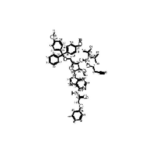 C#CCCOP(OC1C(COC(c2ccccc2)(c2ccc(OC)cc2)c2ccc(OC)cc2)OC(n2cnc3c(NC(=O)COc4ccccc4)ncnc32)C1OC)N(C(C)C)C(C)C